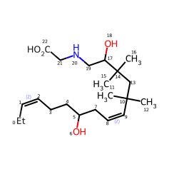 CC/C=C\CCC(O)C/C=C\C(C)(C)CC(C)(C)C(O)CNCC(=O)O